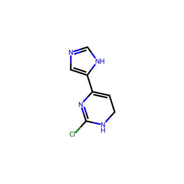 ClC1=NC(c2cnc[nH]2)=CCN1